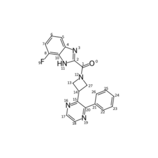 O=C(c1nc2cccc(F)c2[nH]1)N1CC(c2nccnc2-c2ccccc2)C1